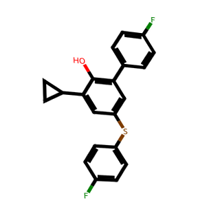 Oc1c(-c2ccc(F)cc2)cc(Sc2ccc(F)cc2)cc1C1CC1